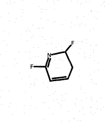 FC1=NC(F)CC=C1